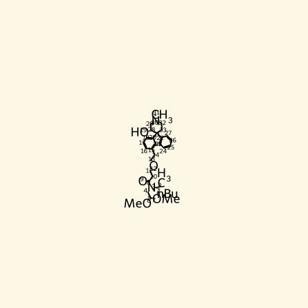 CCCC[C@@H](C)N(CC(OC)OC)C(=O)CCOCCc1ccc(O)c(C2(c3ccccc3)CCN(C)CC2)c1